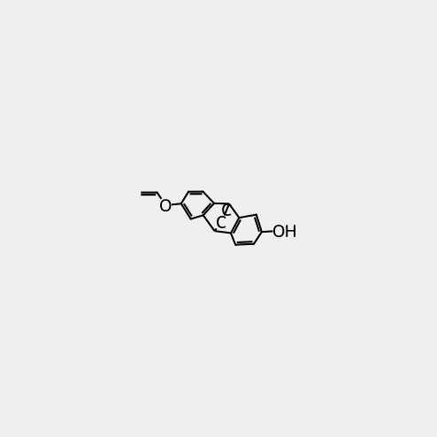 C=COc1ccc2c(c1)C1CCC2c2cc(O)ccc21